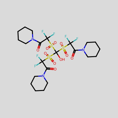 O=C(N1CCCCC1)C(F)(F)S(=O)(=O)C(O)(S(=O)(=O)C(F)(F)C(=O)N1CCCCC1)S(=O)(=O)C(F)(F)C(=O)N1CCCCC1